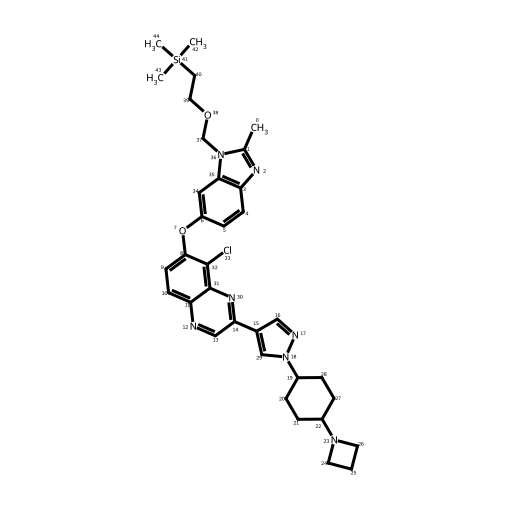 Cc1nc2ccc(Oc3ccc4ncc(-c5cnn(C6CCC(N7CCC7)CC6)c5)nc4c3Cl)cc2n1COCC[Si](C)(C)C